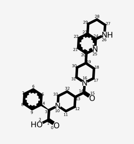 O=C(O)[C@@H](c1ccccc1)N1CCC(C(=O)N2CCC(c3ccc4c(n3)NCCC4)CC2)CC1